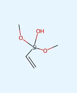 C=C[Si](O)(OC)OC